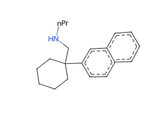 CCCNCC1(c2ccc3ccccc3c2)CCCCC1